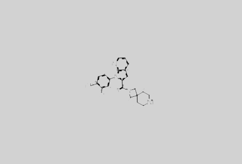 O=C(c1cc2cccnc2n1-c1ccc(Cl)c(Cl)c1)N1CC2(CCNCC2)C1